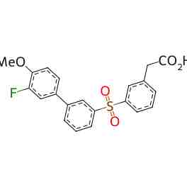 COc1ccc(-c2cccc(S(=O)(=O)c3cccc(CC(=O)O)c3)c2)cc1F